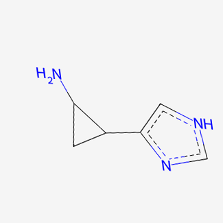 NC1CC1c1c[nH]cn1